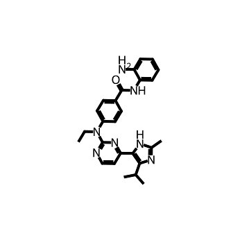 CCN(c1ccc(C(=O)Nc2ccccc2N)cc1)c1nccc(-c2[nH]c(C)nc2C(C)C)n1